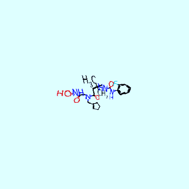 CC(C)(CNC(=O)Nc1ccccc1F)CC(=O)N(CC(=O)NO)CC1CCCC1